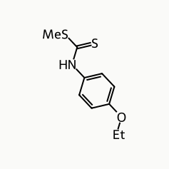 CCOc1ccc(NC(=S)SC)cc1